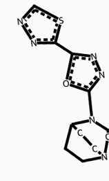 c1nnc(-c2nnc(N3CCN4CCC3CC4)o2)s1